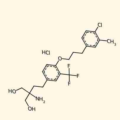 Cc1cc(CCCOc2ccc(CCC(N)(CO)CO)cc2C(F)(F)F)ccc1Cl.Cl